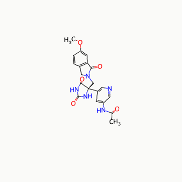 COc1ccc2c(c1)C(=O)N(C[C@@]1(c3cncc(NC(C)=O)c3)NC(=O)NC1=O)C2